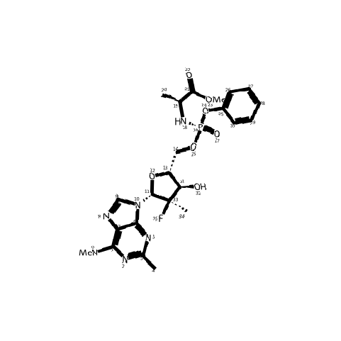 CNc1nc(C)nc2c1ncn2[C@@H]1O[C@H](CO[P@@](=O)(N[C@@H](C)C(=O)OC)Oc2ccccc2)[C@@H](O)[C@@]1(C)F